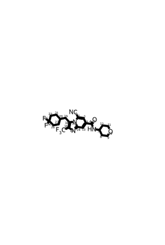 N#Cc1cc(C(=O)NC2CCOCC2)cc2nc(C(F)(F)F)c(CC3CCC(F)(F)CC3)n12